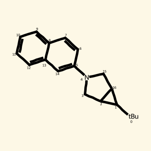 CC(C)(C)C1C2CN(c3ccc4ccccc4c3)CC21